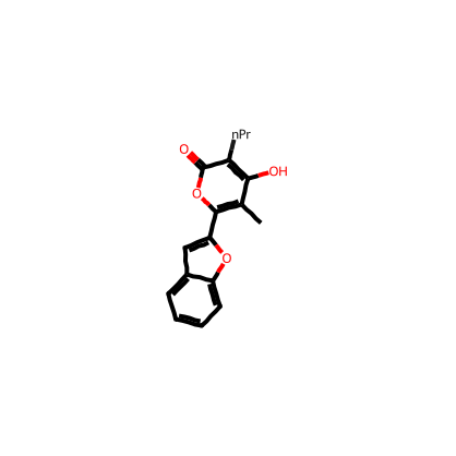 CCCc1c(O)c(C)c(-c2cc3ccccc3o2)oc1=O